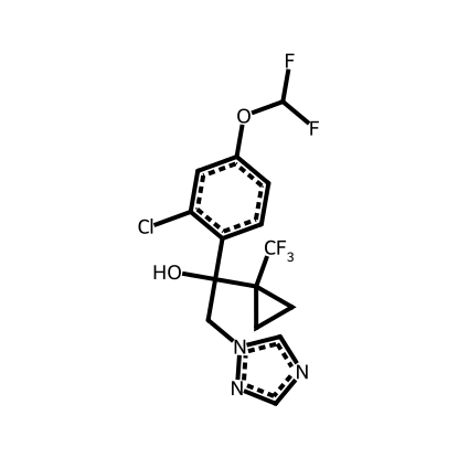 OC(Cn1cncn1)(c1ccc(OC(F)F)cc1Cl)C1(C(F)(F)F)CC1